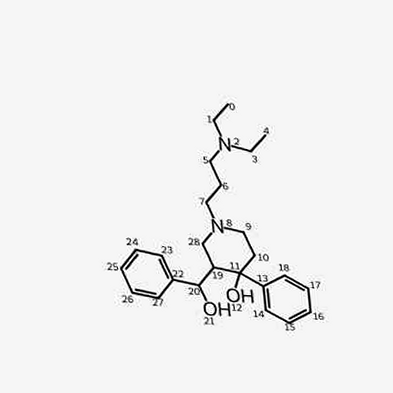 CCN(CC)CCCN1CCC(O)(c2ccccc2)C(C(O)c2ccccc2)C1